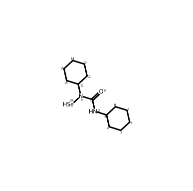 O=C(NC1CCCCC1)N([SeH])C1CCCCC1